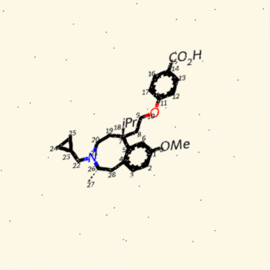 COc1ccc2c(c1)[C@](CCOc1ccc(C(=O)O)cc1)(C(C)C)CCN(CC1CC1)[C@@H](C)C2